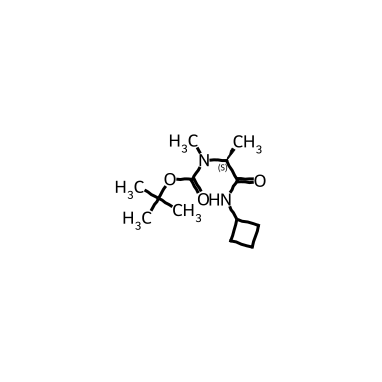 C[C@@H](C(=O)NC1CCC1)N(C)C(=O)OC(C)(C)C